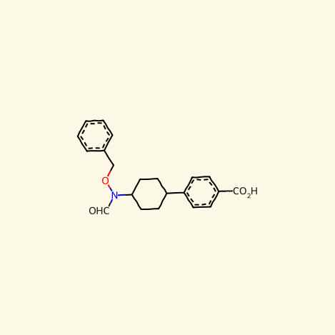 O=CN(OCc1ccccc1)C1CCC(c2ccc(C(=O)O)cc2)CC1